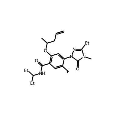 C=CCC(C)Oc1cc(-n2nc(CC)n(C)c2=O)c(F)cc1C(=O)NC(CC)CC